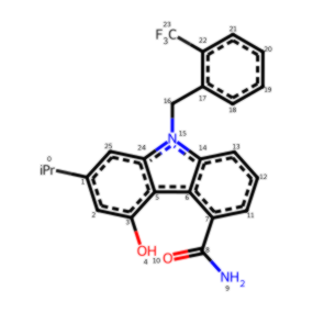 CC(C)c1cc(O)c2c3c(C(N)=O)cccc3n(Cc3ccccc3C(F)(F)F)c2c1